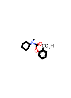 CN(C(=O)Oc1ccccc1C(=O)O)C1CCCCC1